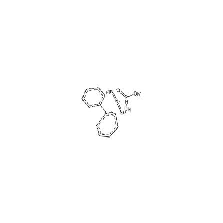 N=[N+]=N.O=[PH](O)O.c1ccc(-c2ccccc2)cc1